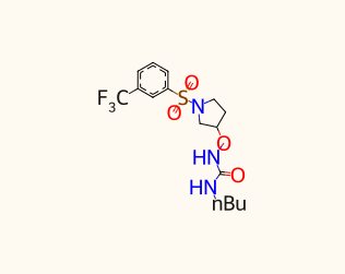 CCCCNC(=O)NOC1CCN(S(=O)(=O)c2cccc(C(F)(F)F)c2)C1